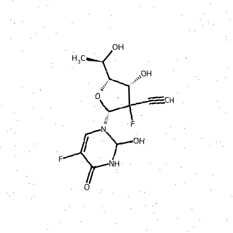 C#CC1(F)[C@@H](O)[C@@H]([C@@H](C)O)O[C@H]1N1C=C(F)C(=O)NC1O